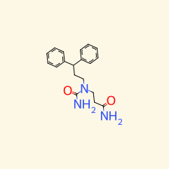 NC(=O)CCN(CCC(c1ccccc1)c1ccccc1)C(N)=O